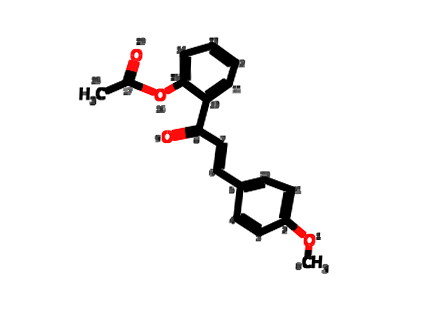 COc1ccc(C=CC(=O)c2ccccc2OC(C)=O)cc1